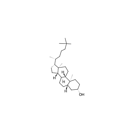 C[C@H](CCCC(C)(C)C)[C@H]1CC[C@H]2[C@@H]3CC[C@H]4C[C@@H](O)CC[C@]4(C)[C@H]3CC[C@]12C